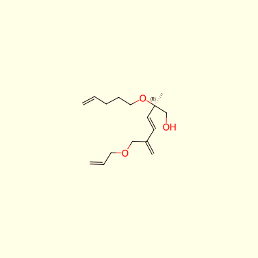 C=CCCCO[C@](C)(C=CC(=C)COCC=C)CO